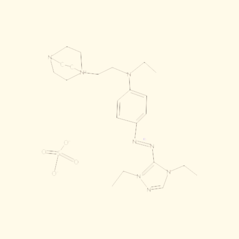 CCN(CC[N+]12CCN(CC1)CC2)c1ccc(/N=N/c2n(CC)cn[n+]2CC)cc1.O=S(=O)([O-])[O-]